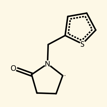 O=C1CC[CH]N1Cc1cccs1